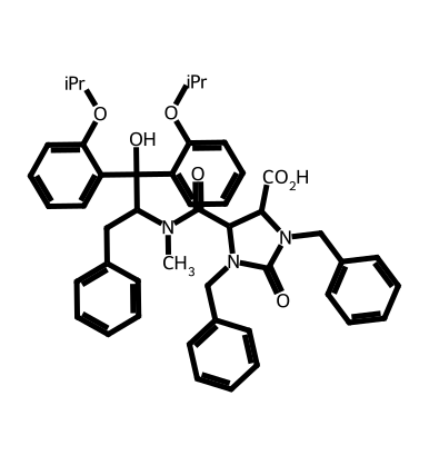 CC(C)Oc1ccccc1C(O)(c1ccccc1OC(C)C)C(Cc1ccccc1)N(C)C(=O)C1C(C(=O)O)N(Cc2ccccc2)C(=O)N1Cc1ccccc1